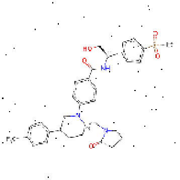 CCS(=O)(=O)c1ccc([C@H](CO)NC(=O)c2ccc(N3CC(c4ccc(C(F)(F)F)cc4)CC[C@H]3CN3CCCC3=O)cc2)cc1